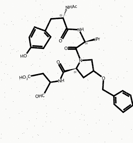 CC(=O)N[C@@H](Cc1ccc(O)cc1)C(=O)N[C@H](C(=O)N1CC(OCc2ccccc2)C[C@H]1C(=O)NC(C=O)CC(=O)O)C(C)C